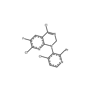 CC(C)c1nccc(Cl)c1N1CN=C(Cl)c2cc(F)c(Cl)nc21